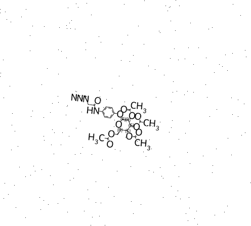 CC(=O)OC[C@H]1O[C@H](Oc2ccc(NC(=O)CN=[N+]=[N-])cc2)[C@H](OC(C)=O)[C@@H](OC(C)=O)[C@H]1OC(C)=O